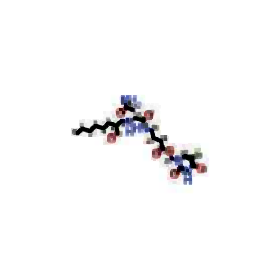 CCCCCCC(C=O)CN[C@H](CC(N)=O)C(=O)NCCCC(=O)OCn1cc(F)c(=O)[nH]c1=O